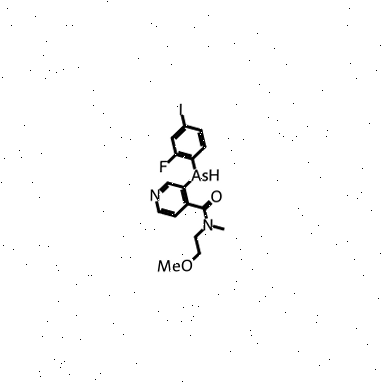 COCCN(C)C(=O)c1ccncc1[AsH]c1ccc(I)cc1F